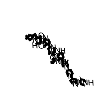 C=CC(=O)Nc1cc(Nc2nc(-c3ccnc(N4CCn5c(cc6c5CC(C)(C)C6)C4=O)c3CO)cn(C)c2=O)ccc1N1CCN(C2CCN(c3ccnc(N4CCNC[C@@H]4C)c3)CC2)C[C@@H]1C